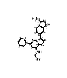 CC(C)CNc1cc(-c2ccccc2)nn2c(-c3ccc4c(N)n[nH]c4c3)cnc12